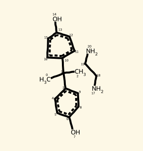 CC(C)(c1ccc(O)cc1)c1ccc(O)cc1.NCCN